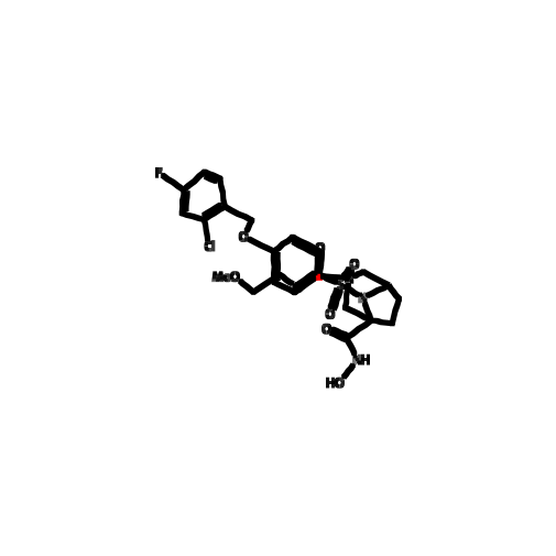 COCCOC(=O)N1CC2CCC(C(=O)NO)(C1)N2S(=O)(=O)c1ccc(OCc2ccc(F)cc2Cl)cc1